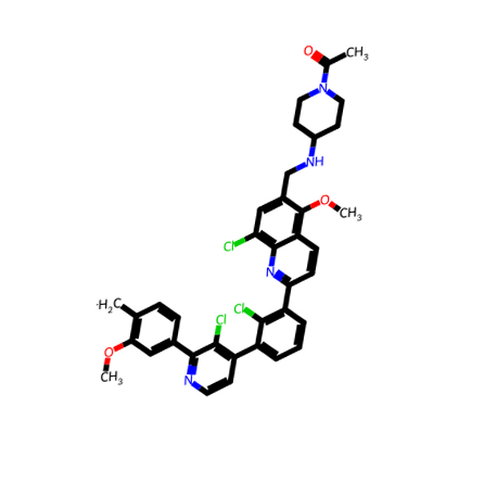 [CH2]c1ccc(-c2nccc(-c3cccc(-c4ccc5c(OC)c(CNC6CCN(C(C)=O)CC6)cc(Cl)c5n4)c3Cl)c2Cl)cc1OC